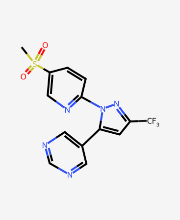 CS(=O)(=O)c1ccc(-n2nc(C(F)(F)F)cc2-c2cncnc2)nc1